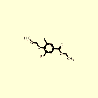 CCOC(=O)c1cc(Br)c(OCOC)c(I)c1